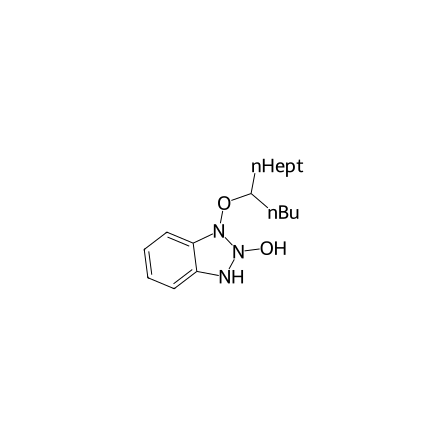 CCCCCCCC(CCCC)ON1c2ccccc2NN1O